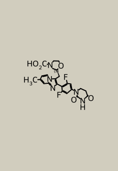 Cc1ccn2c(C[C@H]3CN(C(=O)O)CCO3)c(-c3c(F)cc(N4CCC(=O)NC4=O)cc3F)nc2c1